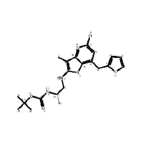 Cc1c(NC[C@H](C)NC(=O)OC(C)(C)C)sc2c([CH]c3cccs3)cc(Cl)nc12